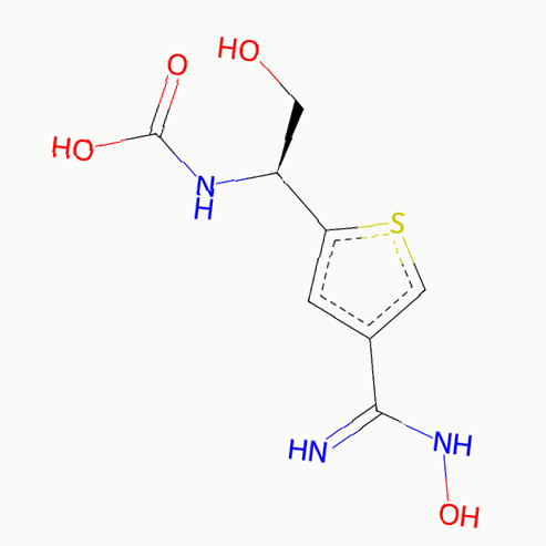 N=C(NO)c1csc([C@H](CO)NC(=O)O)c1